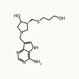 Nc1ncnc2c(CN3CC(O)[C@@H](CSCCCO)C3)c[nH]c12